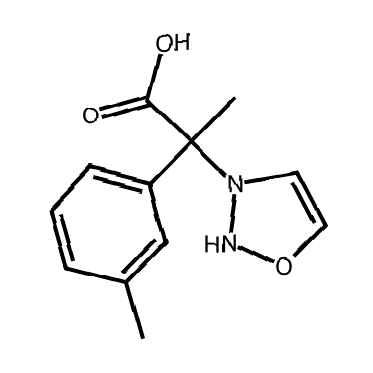 Cc1cccc(C(C)(C(=O)O)N2C=CON2)c1